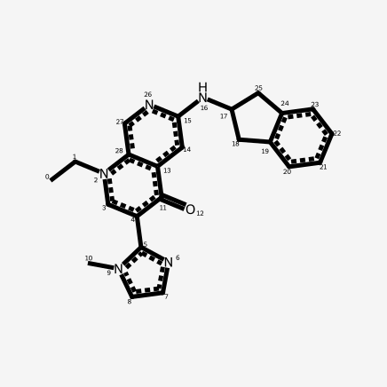 CCn1cc(-c2nccn2C)c(=O)c2cc(NC3Cc4ccccc4C3)ncc21